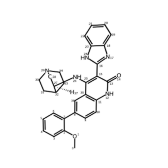 COc1ccccc1-c1ccc2[nH]c(=O)c(-c3nc4ccccc4[nH]3)c(N[C@@H]3CN4CCC3CC4)c2c1